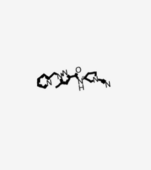 Cc1cc(C(=O)N[C@@H]2CCN(C#N)C2)nn1Cc1ccccn1